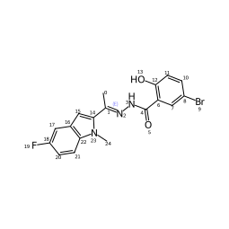 C/C(=N\NC(=O)c1cc(Br)ccc1O)c1cc2cc(F)ccc2n1C